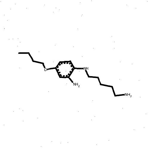 CCCCOc1ccc(NCCCCCN)c(N)c1